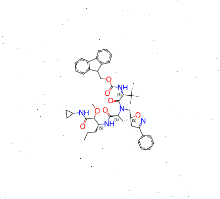 CCC[C@H](NC(=O)[C@@H]1C[C@]2(CC(c3ccccc3)=NO2)CN1C(=O)[C@@H](NC(=O)OCC1c2ccccc2-c2ccccc21)C(C)(C)C)C(OC)C(=O)NC1CC1